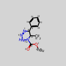 CCCCOC(=O)N1NN=NC(c2ccccc2)C1C(F)(F)F